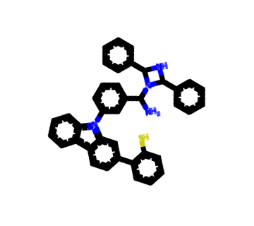 NC(c1cccc(-n2c3ccccc3c3ccc(-c4ccccc4S)cc32)c1)N1C(c2ccccc2)NC1c1ccccc1